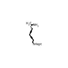 C=C(N)SCC#CCC#CCCCCCCCCC